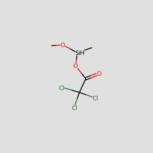 CO[SiH](C)OC(=O)C(Cl)(Cl)Cl